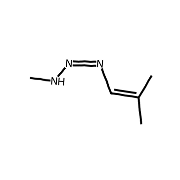 CN/N=N\C=C(C)C